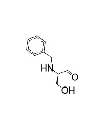 O=C[C@@H](CO)NCc1ccccc1